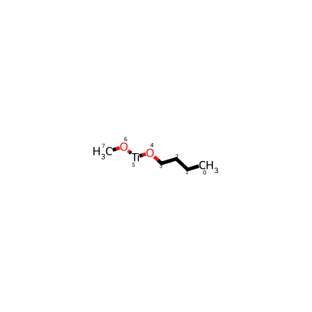 CCCC[O][Ti][O]C